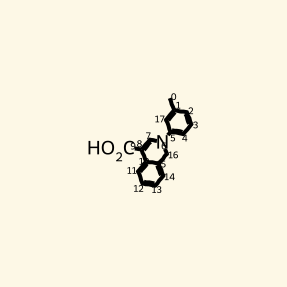 Cc1cccc(N2C=C(C(=O)O)c3ccccc3C2)c1